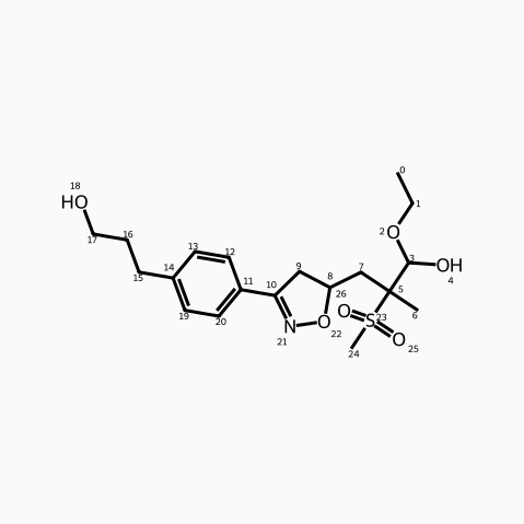 CCOC(O)C(C)(CC1CC(c2ccc(CCCO)cc2)=NO1)S(C)(=O)=O